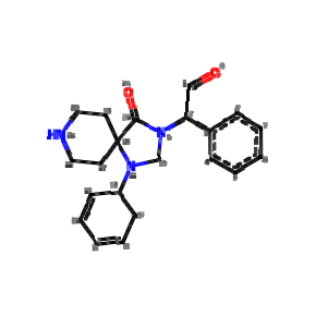 O=CC(c1ccccc1)N1CN(C2C=CC=CC2)C2(CCNCC2)C1=O